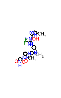 Cc1ccn2ncc(C(O)Nc3cn([C@H]4CC[C@H](CN(C)C5CCN(c6cccc7c6n(C)c(=O)n7C6CCC(=O)NC6=O)CC5)CC4)nc3C(F)F)c2n1